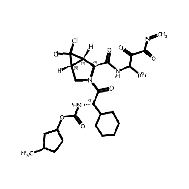 C=NC(=O)C(=O)C(CCC)NC(=O)[C@@H]1[C@@H]2[C@H](CN1C(=O)[C@@H](NC(=O)OC1CCC(C)C1)C1CCCCC1)C2(Cl)Cl